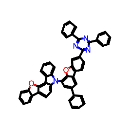 c1ccc(-c2cc(-n3c4ccccc4c4c5oc6ccccc6c5ccc43)c3oc4cc(-c5nc(-c6ccccc6)nc(-c6ccccc6)n5)ccc4c3c2)cc1